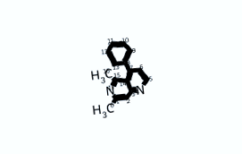 Cc1cc2nccc(-c3cc[c]cc3)c2c(C)n1